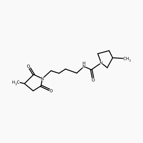 CC1CCN(C(=O)NCCCCN2C(=O)CC(C)C2=O)C1